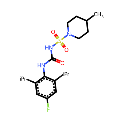 CC1CCN(S(=O)(=O)NC(=O)Nc2c(C(C)C)cc(F)cc2C(C)C)CC1